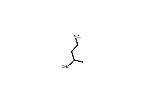 C[C@@H](C=O)CC[N+](=O)[O-]